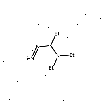 [CH2]CC(N=N)N(CC)CC